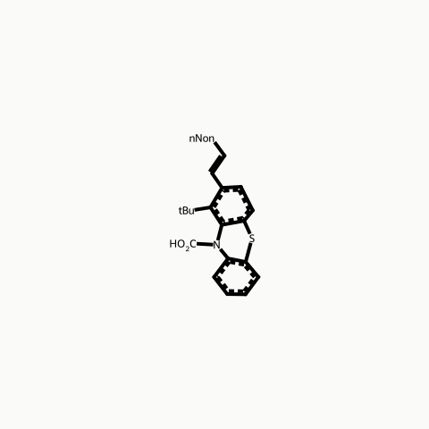 CCCCCCCCC/C=C/c1ccc2c(c1C(C)(C)C)N(C(=O)O)c1ccccc1S2